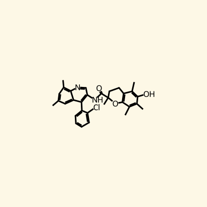 Cc1cc(C)c2ncc(NC(=O)C3(C)CCc4c(C)c(O)c(C)c(C)c4O3)c(-c3ccccc3Cl)c2c1